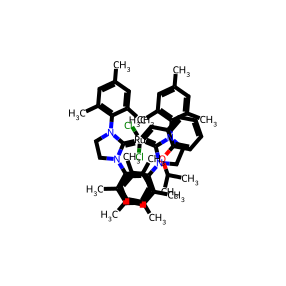 Cc1cc(C)c(N2CCN(c3c(C)cc(C)cc3C)[C]2=[Ru]([Cl])([Cl])(=[CH]c2ccccc2OC(C)C)=[C]2N(c3c(C)cc(C)cc3C)CCN2c2c(C)cc(C)cc2C)c(C)c1